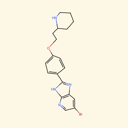 Brc1cnc2[nH]c(-c3ccc(OCCC4CCCCN4)cc3)nc2c1